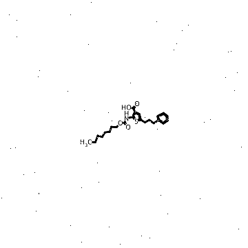 CCCCCCCCOC(=O)Nc1sc(CCCc2ccccc2)cc1C(=O)O